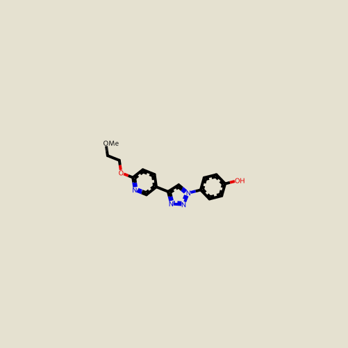 COCCOc1ccc(-c2cn(-c3ccc(O)cc3)nn2)cn1